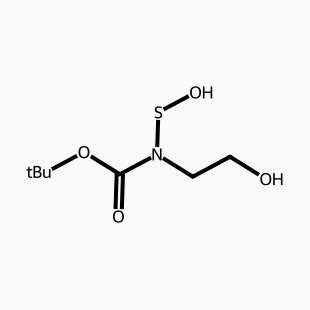 CC(C)(C)OC(=O)N(CCO)SO